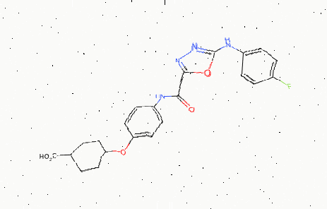 O=C(Nc1ccc(OC2CCC(C(=O)O)CC2)cc1)c1nnc(Nc2ccc(F)cc2)o1